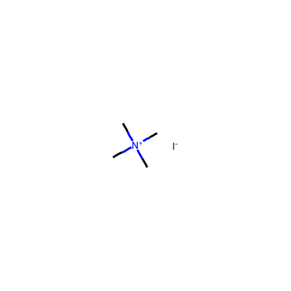 C[N+](C)(C)C.[I-]